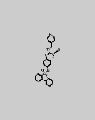 N#CNC(=Nc1ccc(NS(=O)(=O)c2ccccc2-c2ccccc2)cc1)NCc1ccncc1